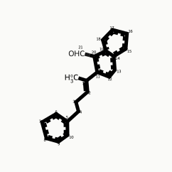 CC(=CCCc1ccccc1)c1ccc2ccccc2c1C=O